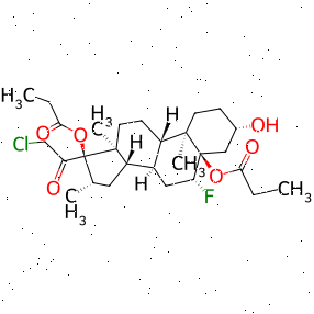 CCC(=O)O[C@]12C[C@@H](O)CC[C@]1(C)[C@H]1CC[C@@]3(C)[C@@H](C[C@H](C)[C@]3(OC(=O)CC)C(=O)CCl)[C@@H]1C[C@H]2F